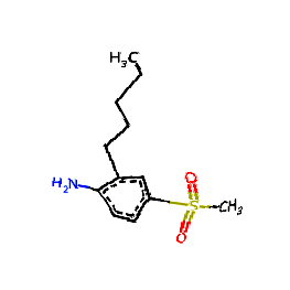 CCCCCc1cc(S(C)(=O)=O)ccc1N